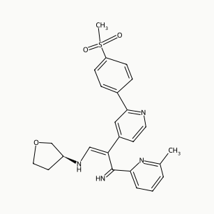 Cc1cccc(C(=N)/C(=C\N[C@H]2CCOC2)c2ccnc(-c3ccc(S(C)(=O)=O)cc3)c2)n1